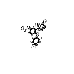 O=c1[nH]c(-c2cc([N+](=O)[O-])ccc2OC2=CCC(F)(F)C=C2)no1